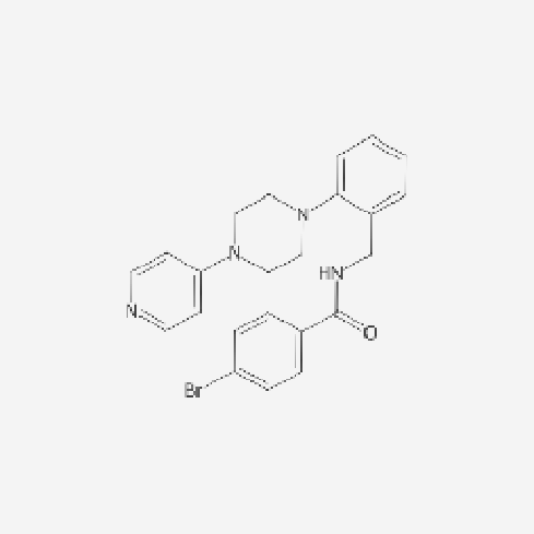 O=C(NCc1ccccc1N1CCN(c2ccncc2)CC1)c1ccc(Br)cc1